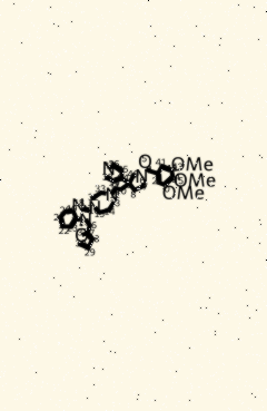 COc1cc(C(=O)N2CCC(CCN3CCCN(c4nc5ccccc5n4Cc4ccco4)CC3)(c3ccncc3)C2)cc(OC)c1OC